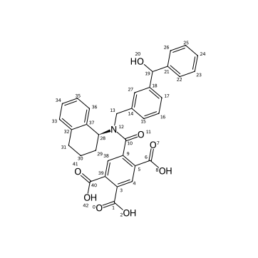 O=C(O)c1cc(C(=O)O)c(C(=O)N(Cc2cccc(C(O)c3ccccc3)c2)[C@H]2CCCc3ccccc32)cc1C(=O)O